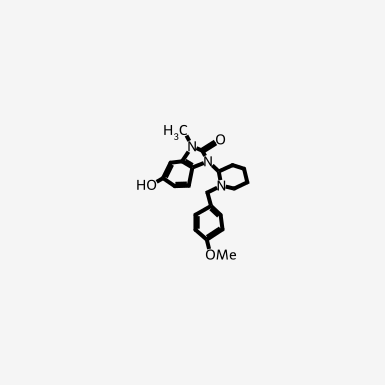 COc1ccc(CN2CCCCC2n2c(=O)n(C)c3cc(O)ccc32)cc1